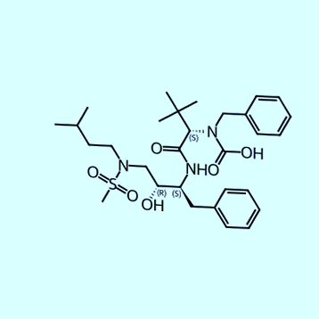 CC(C)CCN(C[C@@H](O)[C@H](Cc1ccccc1)NC(=O)[C@@H](N(Cc1ccccc1)C(=O)O)C(C)(C)C)S(C)(=O)=O